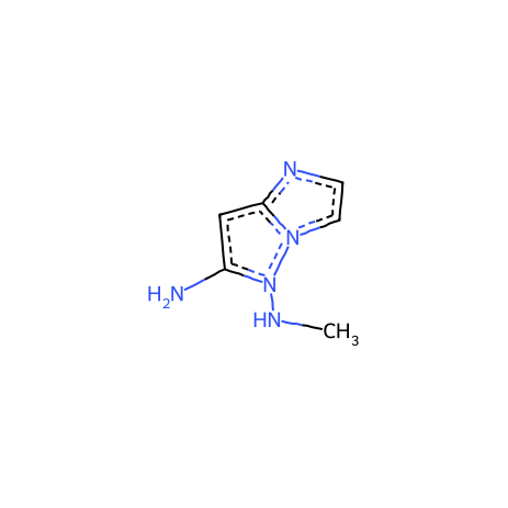 CNn1c(N)cc2nccn21